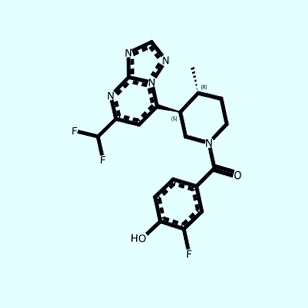 C[C@@H]1CCN(C(=O)c2ccc(O)c(F)c2)C[C@H]1c1cc(C(F)F)nc2ncnn12